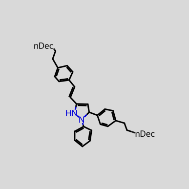 CCCCCCCCCCCCc1ccc(C=CC2=CC(c3ccc(CCCCCCCCCCCC)cc3)N(c3ccccc3)N2)cc1